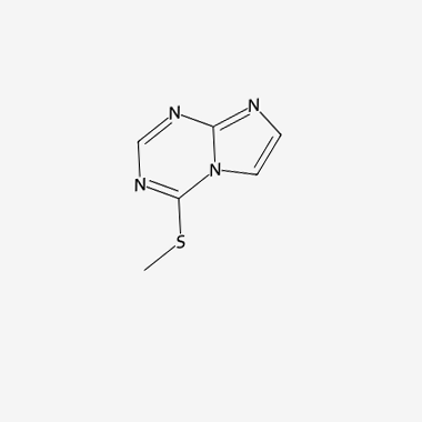 CSc1ncnc2nccn12